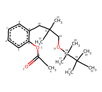 CC(=O)Oc1ccccc1CC(C)(C)CO[Si](C)(C)C(C)(C)C